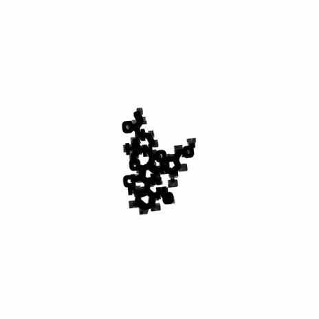 C=CC(=O)N1CCN2C(=O)c3c(N4CC(COC)C[C@@H]4C)nc(-c4c(F)cccc4N=O)c(Cl)c3OC[C@H]2C1